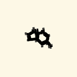 Fc1[c]c2cn[nH]c2nc1